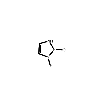 ON1NC=CN1F